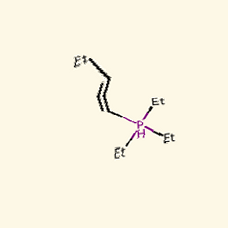 CCC=C[PH](CC)(CC)CC